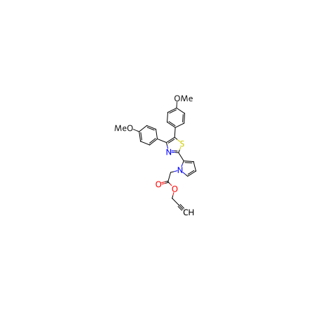 C#CCOC(=O)Cn1cccc1-c1nc(-c2ccc(OC)cc2)c(-c2ccc(OC)cc2)s1